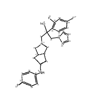 OC(CN1CC2CC(Nc3ccc(F)cc3)CC2C1)(Cn1cncn1)c1ccc(F)cc1F